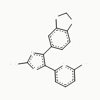 Cc1cccc(-c2sc(C)nc2-c2ccc3c(c2)OCO3)n1